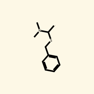 [CH2]C(SCc1ccccc1)N(C)C